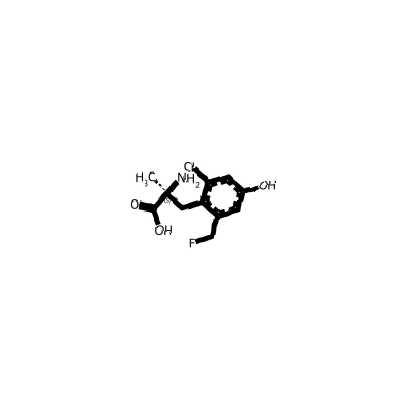 C[C@](N)(Cc1c(Cl)cc(O)cc1CF)C(=O)O